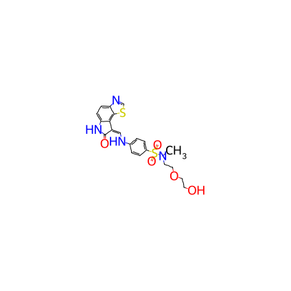 CN(CCOCCO)S(=O)(=O)c1ccc(N/C=C2\C(=O)Nc3ccc4ncsc4c32)cc1